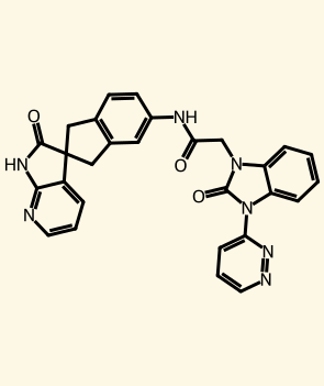 O=C(Cn1c(=O)n(-c2cccnn2)c2ccccc21)Nc1ccc2c(c1)CC1(C2)C(=O)Nc2ncccc21